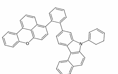 C1=CCCC(n2c3cc(-c4ccccc4-c4ccc5c6c(cccc46)-c4ccccc4O5)ccc3c3c4ccccc4ccc32)=C1